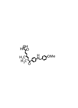 COc1ccc(CNc2ccc(C(=O)[C@H](C)/C=C(C)/C=C/C(=O)NO)cc2)cc1